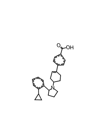 O=C(O)c1ccc(C2=CCC(N3CCCC3c3ccccc3C3CC3)CC2)cc1